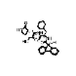 O=C1NCC[C@H]1C[C@@H](NC(=O)[C@H](CC1CCCCC1)NC(=O)C1(O)c2ccccc2-c2ccccc21)C(=O)CO